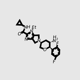 CCn1c(C(=O)NC2CC2)nc2c1CN([C@H]1CO[C@H](c3cc(F)ccc3F)[C@@H](N)C1)C2